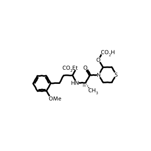 CCOC(=O)C(CCc1ccccc1OC)N[C@@H](C)C(=O)N1CCSCC1OC(=O)O